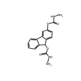 NNC(=O)Oc1ccc2c(c1)-c1ccccc1C2OC(=O)NN